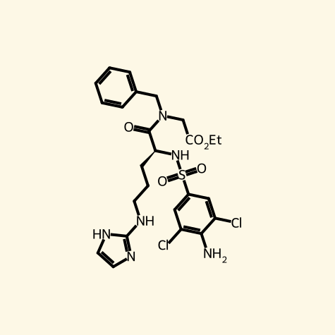 CCOC(=O)CN(Cc1ccccc1)C(=O)[C@H](CCCNc1ncc[nH]1)NS(=O)(=O)c1cc(Cl)c(N)c(Cl)c1